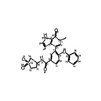 Cn1cc(-c2cc(C(=O)NC3CCS(=O)(=O)C3)ccc2Oc2ccccc2)c2cc[nH]c2c1=O